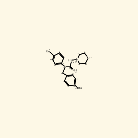 CCC(C)c1ccc(N(Cc2ccc(C(C)(C)C)cc2)C(=N)NN2CCOCC2)cc1